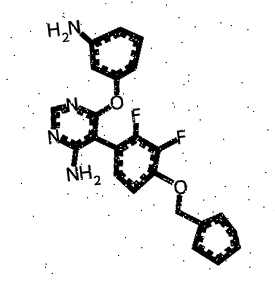 Nc1cccc(Oc2ncnc(N)c2-c2ccc(OCc3ccccc3)c(F)c2F)c1